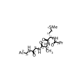 CSCC[C@H](NC(=O)C(C)C)C(=O)N[C@@H](C)C(=O)NCC(=O)NCC(C)=O